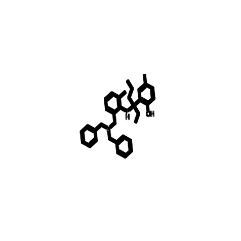 CCCC(CC)(Pc1c(C)cccc1CN(Cc1ccccc1)Cc1ccccc1)c1cc(C)ccc1O